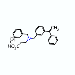 C=C(c1ccccc1)c1cccc(CN(CCC(=O)O)Cc2cccc(C)c2)c1